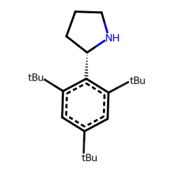 CC(C)(C)c1cc(C(C)(C)C)c([C@@H]2CCCN2)c(C(C)(C)C)c1